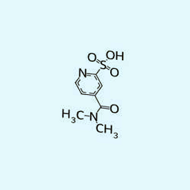 CN(C)C(=O)c1ccnc(S(=O)(=O)O)c1